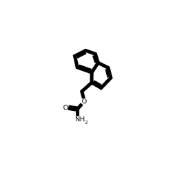 NC(=O)OCc1cccc2ccccc12